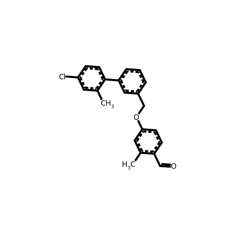 Cc1cc(OCc2cccc(-c3ccc(Cl)cc3C)c2)ccc1C=O